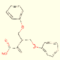 C=C(C(=O)O)C(COc1ccccc1)COc1ccccc1